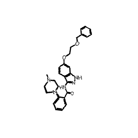 CN1CCN(c2ccccc2C(=O)Nc2n[nH]c3cc(OCCOCc4ccccc4)ccc23)CC1